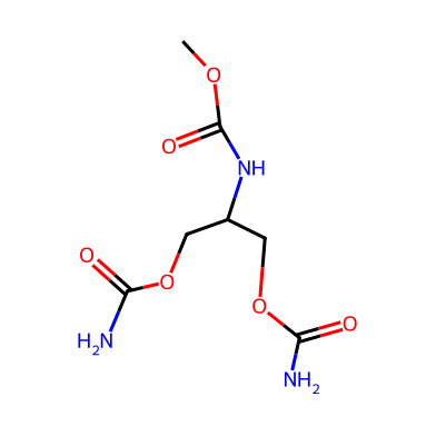 COC(=O)NC(COC(N)=O)COC(N)=O